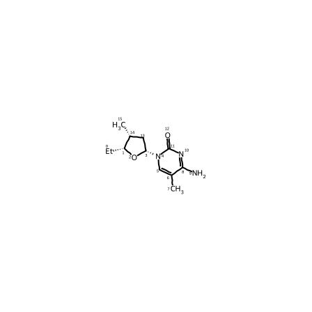 CC[C@H]1O[C@@H](n2cc(C)c(N)nc2=O)C[C@H]1C